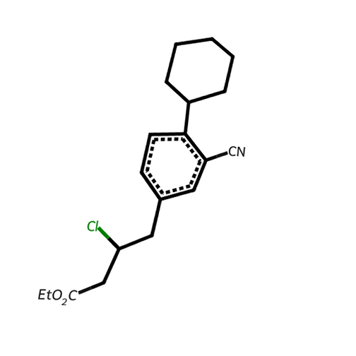 CCOC(=O)CC(Cl)Cc1ccc(C2CCCCC2)c(C#N)c1